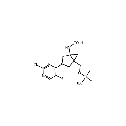 CC(C)(C)[Si](C)(C)OCC12CN(c3nc(Cl)ncc3F)CC1(NC(=O)O)C2